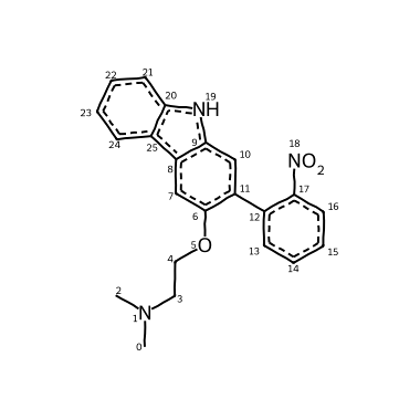 CN(C)CCOc1cc2c(cc1-c1ccccc1[N+](=O)[O-])[nH]c1ccccc12